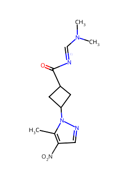 Cc1c([N+](=O)[O-])cnn1C1CC(C(=O)/N=C/N(C)C)C1